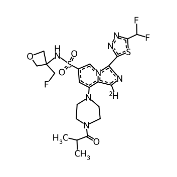 [2H]c1nc(-c2nnc(C(F)F)s2)n2cc(S(=O)(=O)NC3(CF)COC3)cc(N3CCN(C(=O)C(C)C)CC3)c12